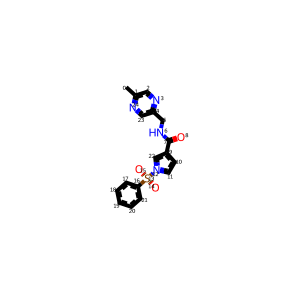 Cc1cnc(CNC(=O)c2ccn(S(=O)(=O)c3ccccc3)c2)cn1